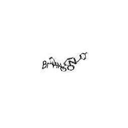 Cc1ccc(Cn2cccc(C(=O)NCc3cccc(Br)c3)c2=O)cc1